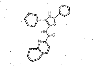 O=C(NC1=C(c2ccccc2)NC(c2ccccc2)S1)c1ccc2ccccc2n1